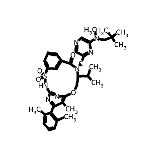 Cc1cccc(C)c1-c1nc2nc(c1C)OCC(C(C)C)N(Cc1cncc(N(C)CC(C)(C)C)n1)C(=O)c1cccc(c1)S(=O)(=O)N2